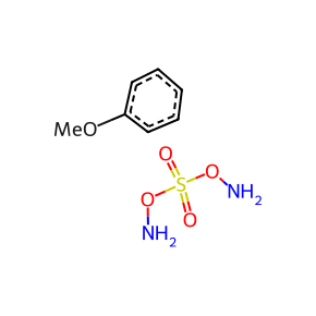 COc1ccccc1.NOS(=O)(=O)ON